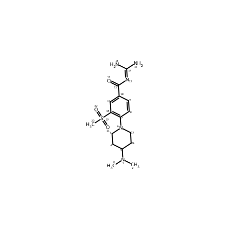 CN(C)C1CCN(c2ccc(C(=O)N=C(N)N)cc2S(C)(=O)=O)CC1